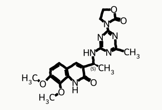 COc1ccc2cc([C@H](C)Nc3nc(C)nc(N4CCOC4=O)n3)c(=O)[nH]c2c1OC